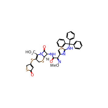 CO/N=C(\C(=O)N[C@@H]1C(=O)N2C(C(=O)O)=C(SC3=CC(=O)SC3)CS[C@H]12)c1csc(NC(c2ccccc2)(c2ccccc2)c2ccccc2)n1